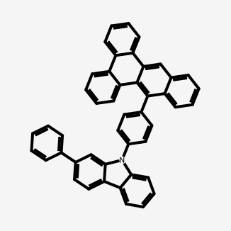 c1ccc(-c2ccc3c4ccccc4n(-c4ccc(-c5c6ccccc6cc6c7ccccc7c7ccccc7c56)cc4)c3c2)cc1